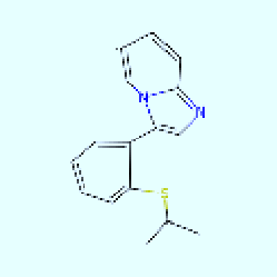 CC(C)Sc1ccccc1-c1cnc2cc[c]cn12